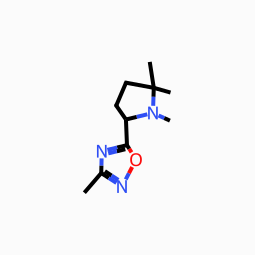 Cc1noc(C2CCC(C)(C)N2C)n1